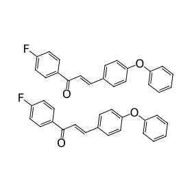 O=C(C=Cc1ccc(Oc2ccccc2)cc1)c1ccc(F)cc1.O=C(C=Cc1ccc(Oc2ccccc2)cc1)c1ccc(F)cc1